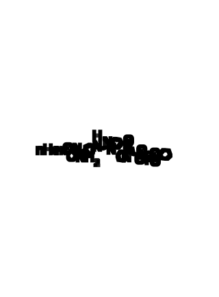 CCCCCCOC(=O)/N=C(\N)c1ccc(NCc2nc3cc(C(=O)N(CCC(=O)OC(C)OC(=O)OC4CCCCC4)c4ccccn4)ccc3n2C)cc1